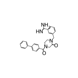 N=C(N)c1cccc(CN2CCN(C(=O)c3ccc(-c4ccccc4)cc3)CC2=O)c1